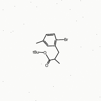 Cc1ccc(Br)c(CC(C)C(=O)OC(C)(C)C)c1